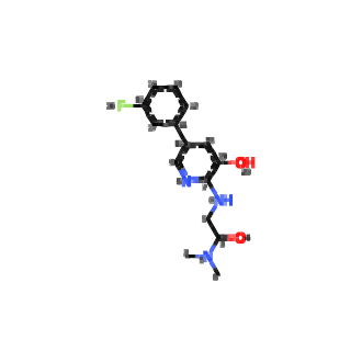 CN(C)C(=O)CNc1ncc(-c2cccc(F)c2)cc1O